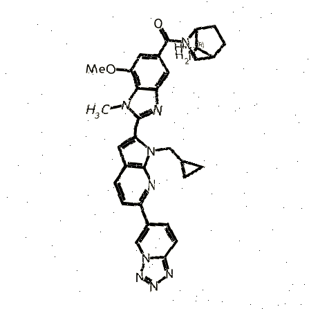 COc1cc(C(=O)N2CC3CCC2[C@@H]3N)cc2nc(-c3cc4ccc(-c5ccc6nnnn6c5)nc4n3CC3CC3)n(C)c12